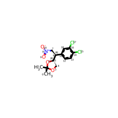 CC1(C)OC[C@@H]([C@@H](C[N+](=O)[O-])c2ccc(Cl)c(Cl)c2)O1